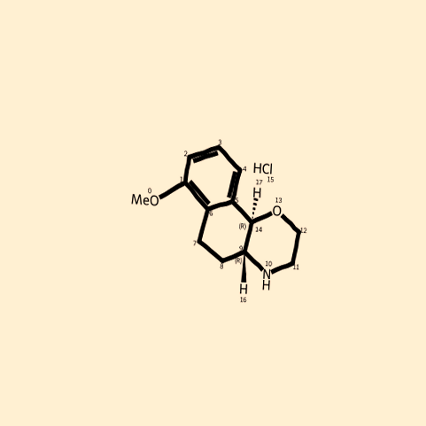 COc1cccc2c1CC[C@H]1NCCO[C@H]21.Cl